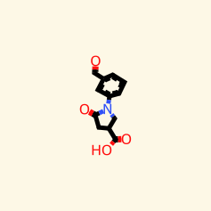 O=Cc1cccc(N2CC(C(=O)O)CC2=O)c1